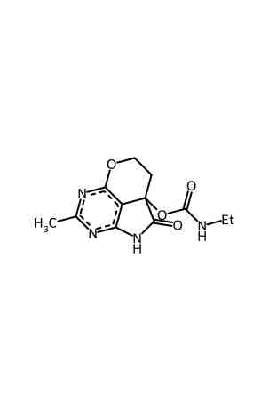 CCNC(=O)OC12CCOc3nc(C)nc(c31)NC2=O